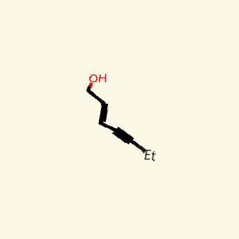 CCC#CC=CCO